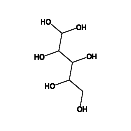 OCC(O)C(O)C(O)C(O)O